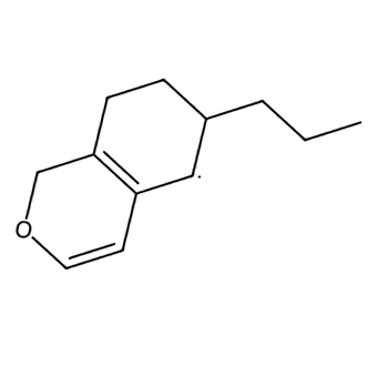 CCCC1[CH]C2=C(CC1)COC=C2